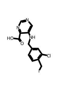 O=C(O)c1ncncc1NCc1ccc(CI)c(Cl)c1